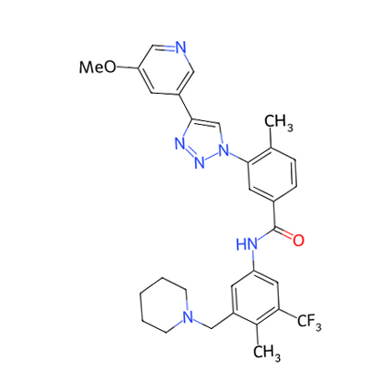 COc1cncc(-c2cn(-c3cc(C(=O)Nc4cc(CN5CCCCC5)c(C)c(C(F)(F)F)c4)ccc3C)nn2)c1